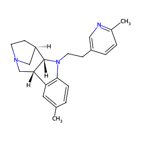 Cc1ccc2c(c1)[C@@H]1CN3CC[C@H](C3)[C@@H]1N2CCc1ccc(C)nc1